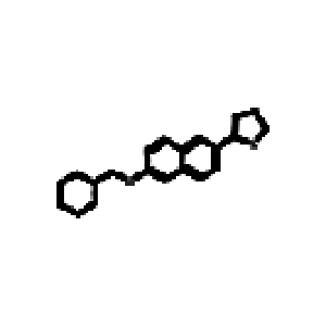 c1cc2cc(C3CCCS3)ccc2cc1OCC1CCCCC1